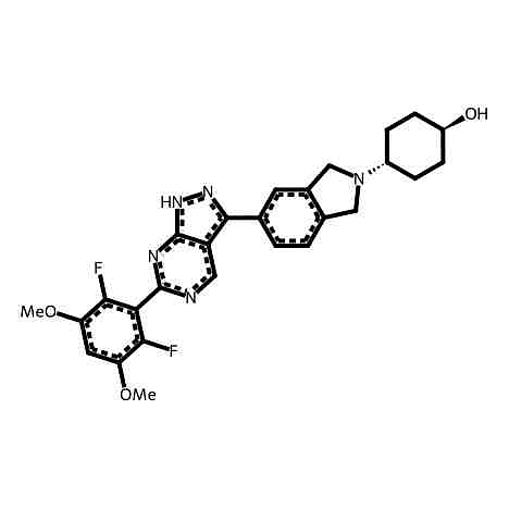 COc1cc(OC)c(F)c(-c2ncc3c(-c4ccc5c(c4)CN([C@H]4CC[C@H](O)CC4)C5)n[nH]c3n2)c1F